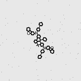 CC1(C)c2cc(N(c3ccc(-c4ccccc4)cc3)c3ccc4oc5ccccc5c4c3)ccc2-c2c(-c3ccccc3)c3ccc(N(c4ccc(-c5ccccc5)cc4)c4ccc5oc6ccccc6c5c4)cc3c3cccc1c23